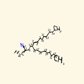 C=C(C#N)CCC(CCCCCCCCC)CCCCCCCCC